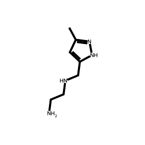 Cc1cc(CNCCN)[nH]n1